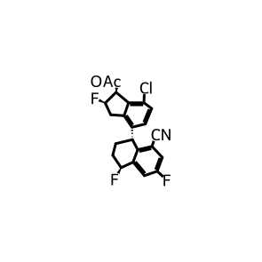 CC(=O)O[C@H]1c2c(Cl)ccc([C@H]3CC[C@H](F)c4cc(F)cc(C#N)c43)c2C[C@H]1F